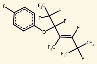 F/C(=C(/C(F)(F)F)C(F)(Oc1ccc(F)cc1)C(F)(F)C(F)(F)F)C(F)(C(F)(F)F)C(F)(F)F